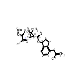 C=C(Cl)Cc1cccc2c1CCC2OC(=O)[C@@H]1[C@H](/C=C(/F)C(=O)OC(C)(C)C)C1(C)C